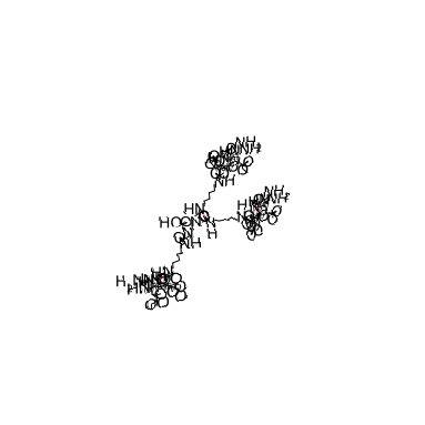 COC(=O)C1=C[C@H](NC(=N)N)[C@@H](NC(C)=O)[C@H]([C@H](OC(=O)NCCCCCCNC(=O)CN(CCN(CC(=O)NCCCCCCNC(=O)O[C@@H]([C@@H]2OC(C(=O)OC)=C[C@H](NC(=N)N)[C@H]2NC(C)=O)[C@H]2COC(=O)O2)CC(=O)NCCCCCCNC(=O)O[C@@H]([C@@H]2OC(C(=O)OC)=C[C@H](NC(=N)N)[C@H]2NC(C)=O)[C@H]2COC(=O)O2)CC(=O)O)[C@H]2COC(=O)O2)O1